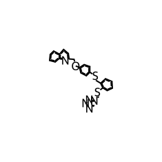 c1ccc(SCn2cnnn2)c(CSc2ccc(OCc3ccc4ccccc4n3)cc2)c1